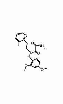 COc1ccc(CN(CCc2ncccc2C)C(=O)C(N)=O)c(OC)c1